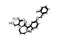 NC(=O)C(CO)N1CCCn2nc3ccc(OCc4ccccc4F)cc3c2C1=O